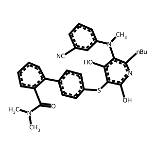 CCCCc1nc(O)c(Sc2ccc(-c3ccccc3C(=O)N(C)C)cc2)c(O)c1N(C)c1cccc(C#N)c1